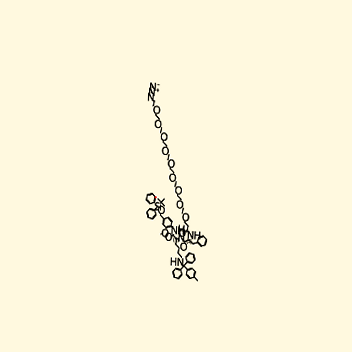 COc1cc(CO[Si](c2ccccc2)(c2ccccc2)C(C)(C)C)ccc1NC(=O)[C@H](CCCCNC(c1ccccc1)(c1ccccc1)c1ccc(C)cc1)NC(=O)[C@H](Cc1ccccc1)NC(=O)CCOCCOCCOCCOCCOCCOCCOCCOCCOCCN=[N+]=[N-]